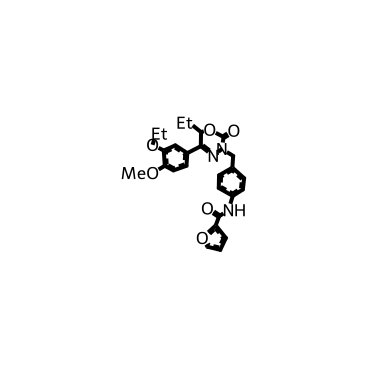 CCOc1cc(C2=NN(Cc3ccc(NC(=O)c4ccco4)cc3)C(=O)OC2CC)ccc1OC